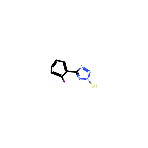 Sn1nnc(-c2ccccc2I)n1